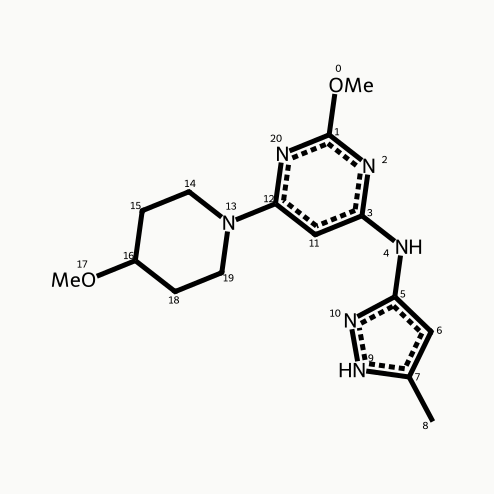 COc1nc(Nc2cc(C)[nH]n2)cc(N2CCC(OC)CC2)n1